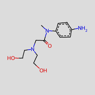 CN(C(=O)CN(CCO)CCO)c1ccc(N)cc1